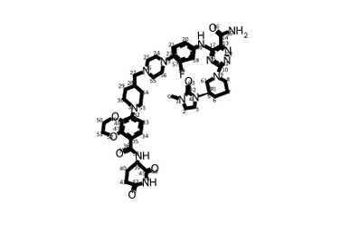 CN1CCN([C@@H]2CCCN(c3nnc(C(N)=O)c(Nc4ccc(N5CCN(CC6CCN(c7ccc(C(=O)NC8CCC(=O)NC8=O)c8c7OCCO8)CC6)CC5)c(F)c4)n3)C2)C1=O